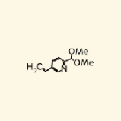 C=Cc1ccc(C(OC)OC)nc1